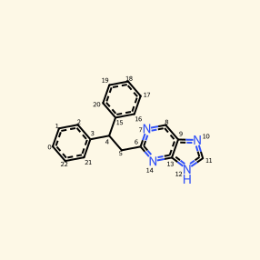 c1ccc(C(Cc2ncc3nc[nH]c3n2)c2ccccc2)cc1